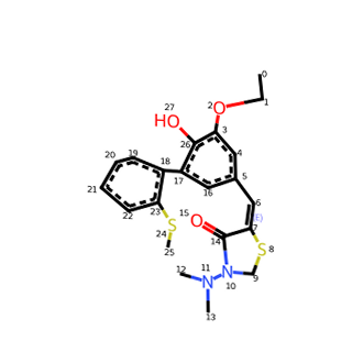 CCOc1cc(/C=C2/SCN(N(C)C)C2=O)cc(-c2ccccc2SC)c1O